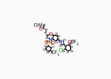 COC(=O)CC[C@H]1CN(S(=O)(=O)c2cccc(C(F)(F)F)c2)c2cc(N3CC(c4c(Cl)cccc4OC(F)(F)F)C3)ccc2O1